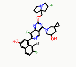 CCc1c(F)ccc2cc(O)cc(-c3ncc4c(N5CC(O)CC6(CC6)C5)nc(OCC56CCCN5C[C@H](F)C6)nc4c3F)c12